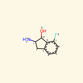 NC1Cc2cccc(F)c2C1O